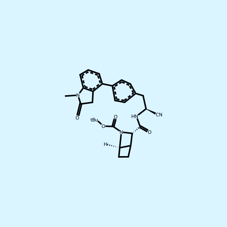 CN1C(=O)Cc2c(-c3ccc(C[C@@H](C#N)NC(=O)[C@@H]4C5CC[C@H]5N4C(=O)OC(C)(C)C)cc3)cccc21